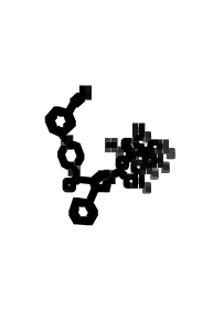 CC(O[Si](C)(C)C(C)(C)C)n1cc(C(=O)N2CCN(c3cccc(C#N)c3)CC2)c(-c2ccccc2)c1